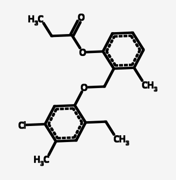 CCC(=O)Oc1cccc(C)c1COc1cc(Cl)c(C)cc1CC